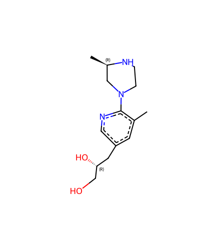 Cc1cc(C[C@@H](O)CO)cnc1N1CCN[C@H](C)C1